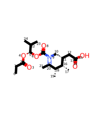 CCC(=O)O[C@@H](OC(=O)NC[C@H](CC(=O)O)[C@H](C)[C@H](C)CC)C(C)C